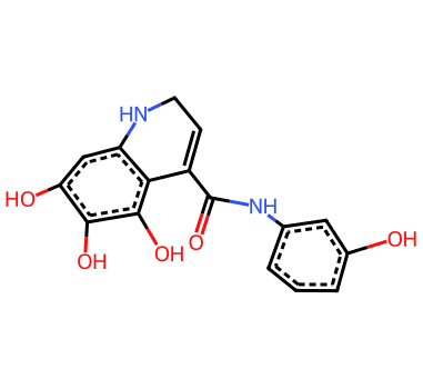 O=C(Nc1cccc(O)c1)C1=CCNc2cc(O)c(O)c(O)c21